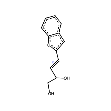 OCC(O)/C=C/c1cc2ncccc2o1